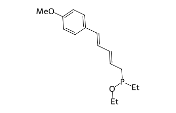 CCOP(CC)CC=CC=Cc1ccc(OC)cc1